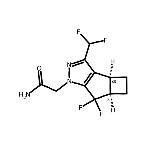 NC(=O)Cn1nc(C(F)F)c2c1C(F)(F)[C@@H]1CC[C@H]21